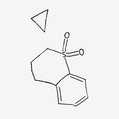 C1CC1.O=S1(=O)CCCc2ccccc21